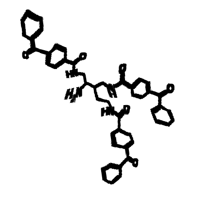 NC(CNC(=O)c1ccc(C(=O)c2ccccc2)cc1)C(CCNC(=O)c1ccc(C(=O)c2ccccc2)cc1)CNC(=O)c1ccc(C(=O)c2ccccc2)cc1